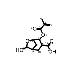 C=C(C)C(=O)OC1C2CC(CC1C(=O)O)C(O)O2